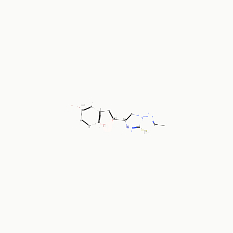 Cc1nn2cc(-c3cc4cc(Br)ccc4o3)nc2s1